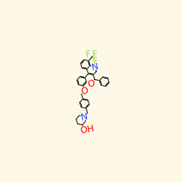 O=C(c1ccccc1)c1cnc2c(C(F)(F)F)cccc2c1-c1cccc(OCc2ccc(CN3CCCC(O)C3)cc2)c1